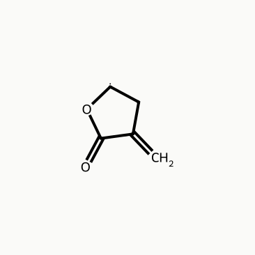 C=C1C[CH]OC1=O